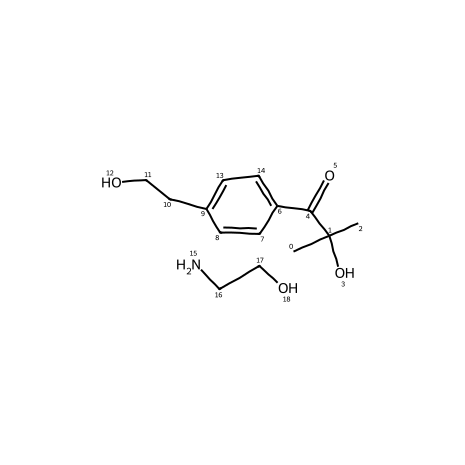 CC(C)(O)C(=O)c1ccc(CCO)cc1.NCCO